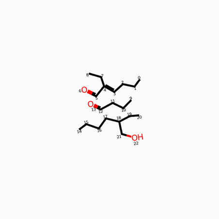 CCC/C=C(/C=O)CC.CCCC=O.CCCCC(CC)CO